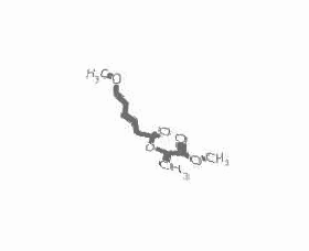 COCCCCCC(=O)OC(C)C(=O)OC